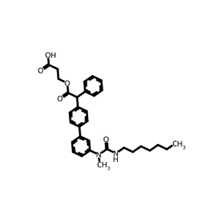 CCCCCCCNC(=O)N(C)c1cccc(-c2ccc(C(C(=O)OCCC(=O)O)c3ccccc3)cc2)c1